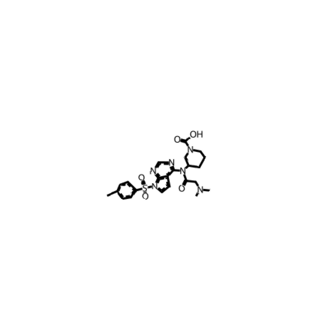 Cc1ccc(S(=O)(=O)n2ccc3c(N(C(=O)CN(C)C)C4CCCN(C(=O)O)C4)ncnc32)cc1